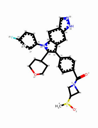 C[S+]([O-])C1CN(C(=O)c2ccc(-c3c(C4CCOCC4)n(-c4ccc(F)cc4)c4cc5cn[nH]c5cc34)cc2)C1